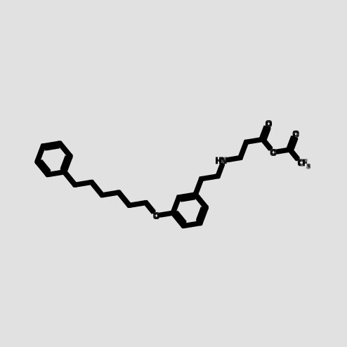 O=C(CCNCCc1cccc(OCCCCCCc2ccccc2)c1)OC(=O)C(F)(F)F